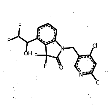 O=C1N(Cc2cnc(Cl)cc2Cl)c2cccc(C(O)C(F)F)c2C1(F)F